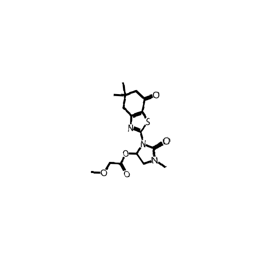 COCC(=O)OC1CN(C)C(=O)N1c1nc2c(s1)C(=O)CC(C)(C)C2